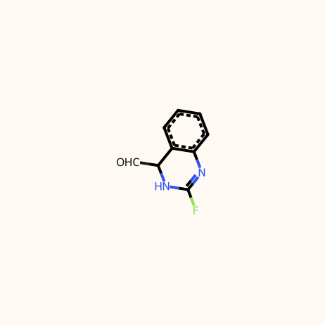 O=CC1NC(F)=Nc2ccccc21